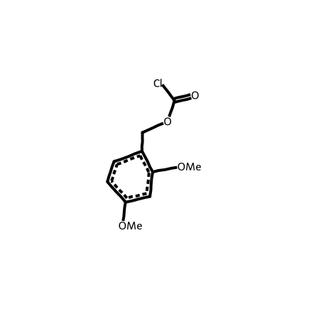 COc1ccc(COC(=O)Cl)c(OC)c1